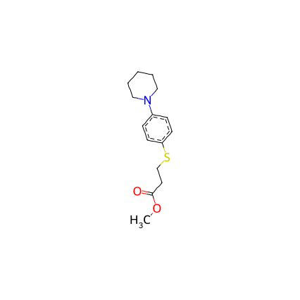 COC(=O)CCSc1ccc(N2CCCCC2)cc1